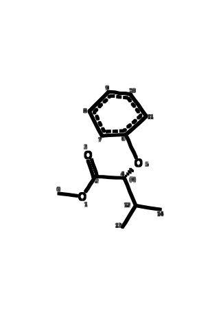 COC(=O)[C@H](Oc1ccccc1)C(C)C